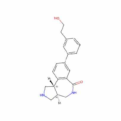 O=C1NC[C@H]2CNC[C@@H]2c2ccc(-c3cccc(CCO)c3)cc21